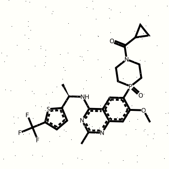 COc1cc2nc(C)nc(N[C@H](C)c3ccc(C(F)(F)F)s3)c2cc1P1(=O)CCN(C(=O)C2CC2)CC1